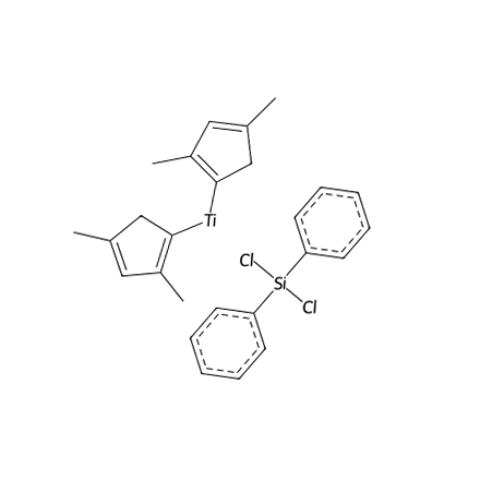 CC1=CC(C)=[C]([Ti][C]2=C(C)C=C(C)C2)C1.Cl[Si](Cl)(c1ccccc1)c1ccccc1